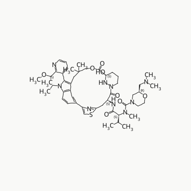 CCn1c(-c2cccnc2[C@H](C)OC)c2c3cc(ccc31)-c1csc(n1)C[C@H](NC(=O)[C@H](C(C)C)N(C)C(=O)N1CCO[C@H](CN(C)C)C1)C(=O)N1CCC[C@@](O)(N1)C(=O)OCC(C)(C)C2